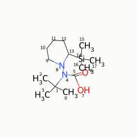 CC(C)(C)N(C(=O)O)N1CCCCC1[Si](C)(C)C